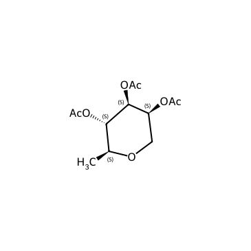 CC(=O)O[C@@H]1[C@@H](OC(C)=O)[C@@H](OC(C)=O)CO[C@H]1C